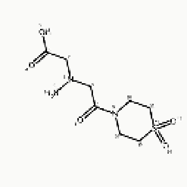 NN(CC(=O)O)CC(=O)N1CCS(=O)(=O)CC1